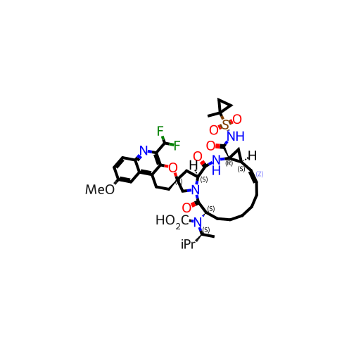 COc1ccc2nc(C(F)F)c3c(c2c1)CC[C@]1(C[C@H]2C(=O)N[C@]4(C(=O)NS(=O)(=O)C5(C)CC5)C[C@H]4/C=C\CCCCC[C@H](N(C(=O)O)[C@@H](C)C(C)C)C(=O)N2C1)O3